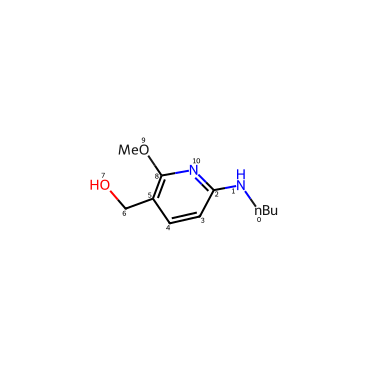 CCCCNc1ccc(CO)c(OC)n1